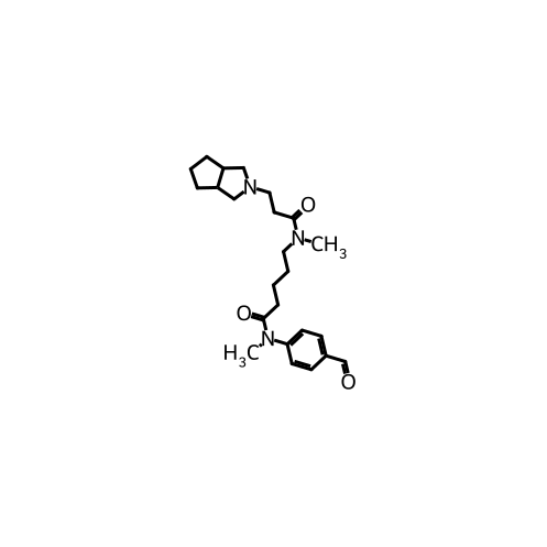 CN(CCCCC(=O)N(C)c1ccc(C=O)cc1)C(=O)CCN1CC2CCCC2C1